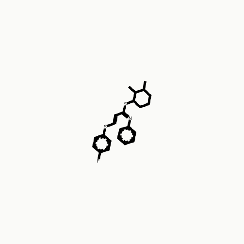 CC1CCCC(SC(C=CSc2ccc(F)cc2)=Nc2ccccc2)C1C